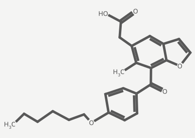 CCCCCCOc1ccc(C(=O)c2c(C)c(CC(=O)O)cc3ccoc23)cc1